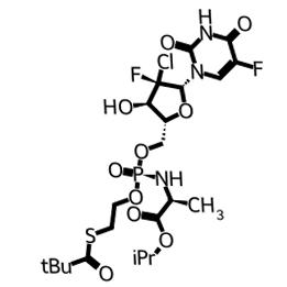 CC(C)OC(=O)[C@H](C)N[P@](=O)(OCCSC(=O)C(C)(C)C)OC[C@H]1O[C@@H](n2cc(F)c(=O)[nH]c2=O)[C@@](F)(Cl)[C@@H]1O